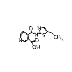 CCC1=C[N]C(=NC(=O)c2ccncc2C(=O)O)S1